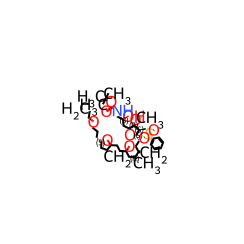 C=CCOCCC[C@H]1CC(=C)C(CCC2C[C@@H](C)C(=C)C(C[C@@H]3OC(C[C@H](O)CNC(=O)OC(C)(C)C)[C@H](OC)[C@H]3CS(=O)(=O)c3ccccc3)O2)O1